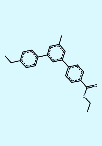 CCOC(=O)c1ccc(-c2cc(C)cc(-c3ccc(CC)cc3)c2)cc1